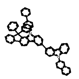 c1ccc(-c2ccc(-n3c4ccc(-c5ccc6c(c5)c5ccccc5n6-c5ccc6ccccc6c5)cc4c4ccc5c(c43)C(c3ccccc3)(c3ccccc3)c3ccccc3-5)cc2)cc1